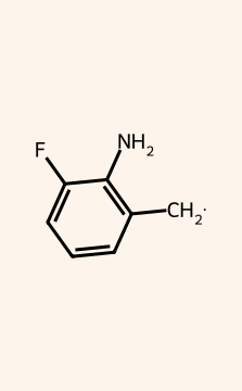 [CH2]c1cccc(F)c1N